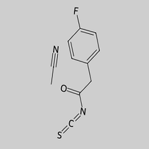 CC#N.O=C(Cc1ccc(F)cc1)N=C=S